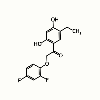 CCc1cc(C(=O)COc2ccc(F)cc2F)c(O)cc1O